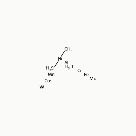 [AlH3].[CH3][Ni][SiH3].[Co].[Cr].[Fe].[Mn].[Mo].[Ti].[W]